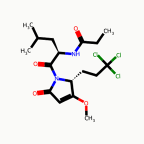 CCC(=O)N[C@H](CC(C)C)C(=O)N1C(=O)C=C(OC)[C@H]1CCC(Cl)(Cl)Cl